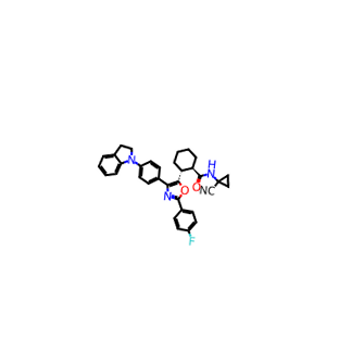 N#CC1(NC(=O)[C@@H]2CCCC[C@H]2c2oc(-c3ccc(F)cc3)nc2-c2ccc(N3CCc4ccccc43)cc2)CC1